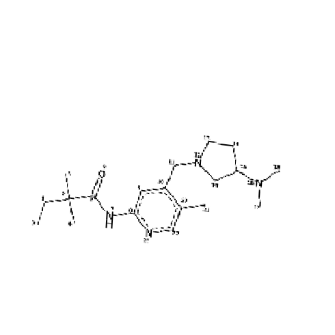 CCC(C)(C)C(=O)Nc1cc(CN2CCC(N(C)C)C2)c(C)cn1